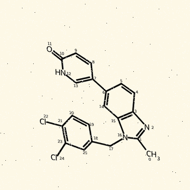 Cc1nc2ccc(-c3ccc(=O)[nH]c3)cc2n1Cc1ccc(Cl)c(Cl)c1